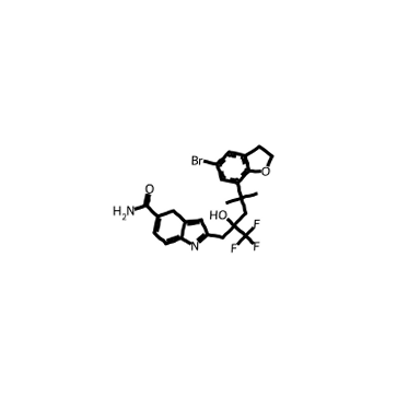 CC(C)(CC(O)(CC1=NC2=CC=C(C(N)=O)CC2=C1)C(F)(F)F)c1cc(Br)cc2c1OCC2